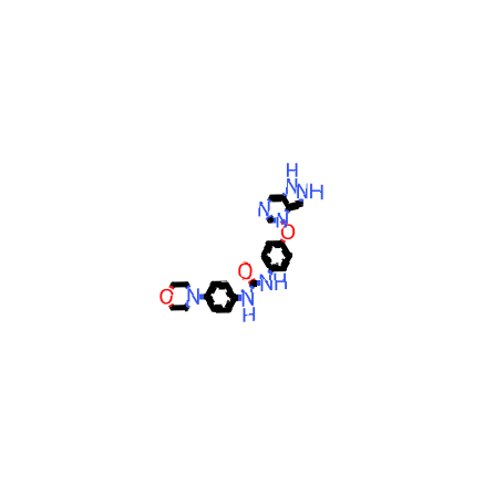 O=C(Nc1ccc(ON2C=NC=C3NNC=C32)cc1)Nc1ccc(N2CCOCC2)cc1